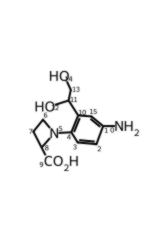 Nc1ccc(N2CCC2C(=O)O)c(C(O)CO)c1